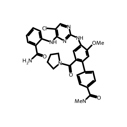 CNC(=O)c1ccc(-c2cc(OC)c(Nc3ncc(Cl)c(Nc4ccccc4C(N)=O)n3)cc2C(=O)N2CCCC2)cc1